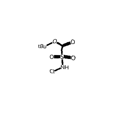 CC(C)(C)OC(=O)S(=O)(=O)NCl